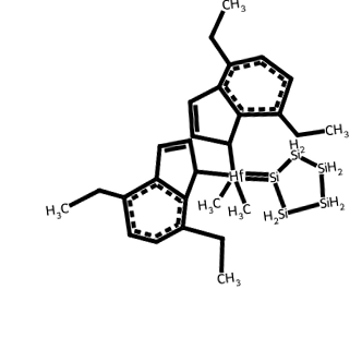 CCc1ccc(CC)c2c1C=C[CH]2[Hf]([CH3])([CH3])([CH]1C=Cc2c(CC)ccc(CC)c21)=[Si]1[SiH2][SiH2][SiH2][SiH2]1